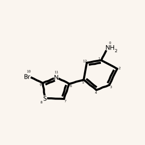 Nc1cccc(-c2csc(Br)n2)c1